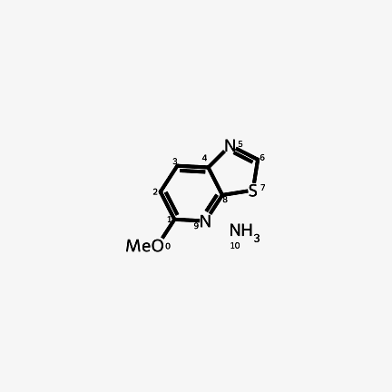 COc1ccc2ncsc2n1.N